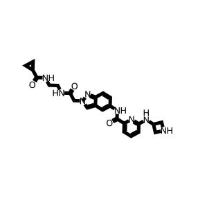 O=C(Cn1cc2cc(NC(=O)c3cccc(NC4CNC4)n3)ccc2n1)NCCNC(=O)C1CC1